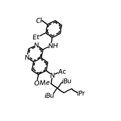 CCc1c(Cl)cccc1Nc1ncnc2cc(OC)c(N(CC(CCC(C)C)(C(C)CC)C(C)CC)C(C)=O)cc12